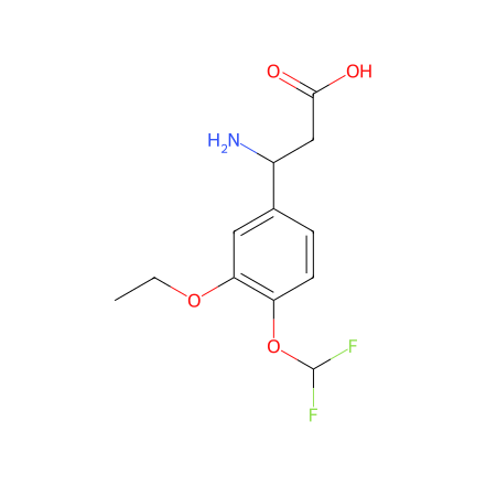 CCOc1cc(C(N)CC(=O)O)ccc1OC(F)F